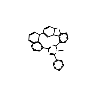 CN1C(c2ccccc2)=NC(c2ccccc2)=NC1c1cccc2c1C1C=C(C3C=CC=CC3)C=CC1O2